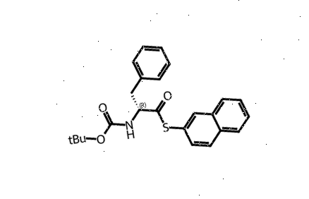 CC(C)(C)OC(=O)N[C@H](Cc1ccccc1)C(=O)Sc1ccc2ccccc2c1